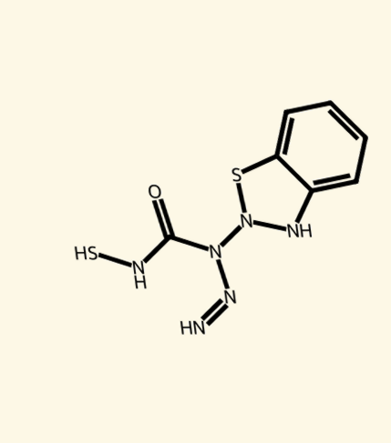 N=NN(C(=O)NS)N1Nc2ccccc2S1